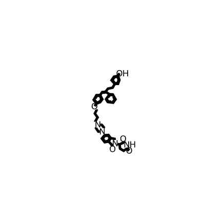 O=C1CCC(N2Cc3cc(N4CCN(CCCCOc5ccc(C=C(CCc6ccc(O)cc6)c6ccccc6)cc5)CC4)ccc3C2=O)C(=O)N1